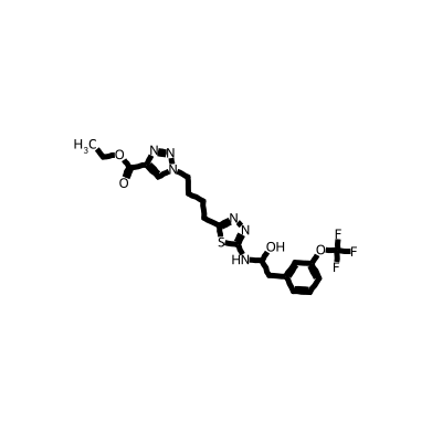 CCOC(=O)c1cn(CCCCc2nnc(NC(O)Cc3cccc(OC(F)(F)F)c3)s2)nn1